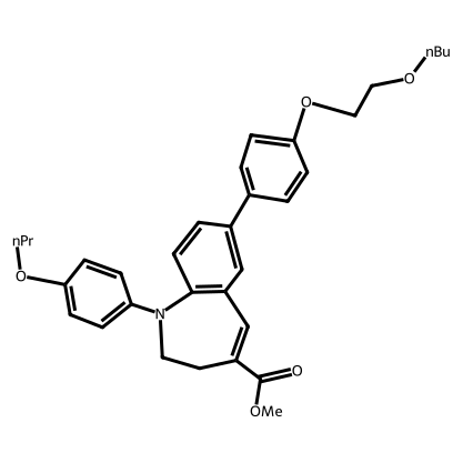 CCCCOCCOc1ccc(-c2ccc3c(c2)C=C(C(=O)OC)CCN3c2ccc(OCCC)cc2)cc1